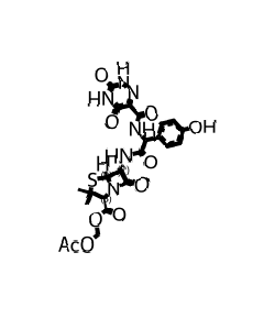 CC(=O)OCOC(=O)[C@@H]1N2C(=O)[C@@H](NC(=O)C(NC(=O)c3n[nH]c(=O)[nH]c3=O)c3ccc(O)cc3)[C@H]2SC1(C)C